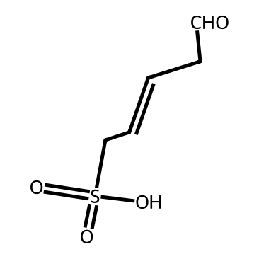 O=CCC=CCS(=O)(=O)O